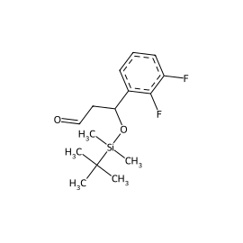 CC(C)(C)[Si](C)(C)OC(CC=O)c1cccc(F)c1F